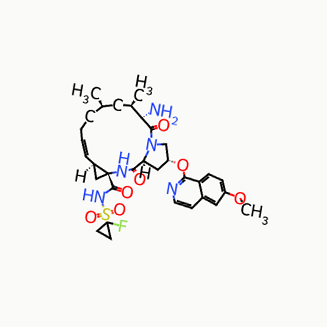 COc1ccc2c(O[C@@H]3C[C@H]4C(=O)N[C@]5(C(=O)NS(=O)(=O)C6(F)CC6)C[C@H]5/C=C\CC[C@@H](C)C[C@@H](C)[C@H](N)C(=O)N4C3)nccc2c1